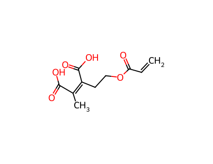 C=CC(=O)OCC/C(C(=O)O)=C(\C)C(=O)O